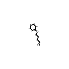 [O]CCCCSC1CCCCC1